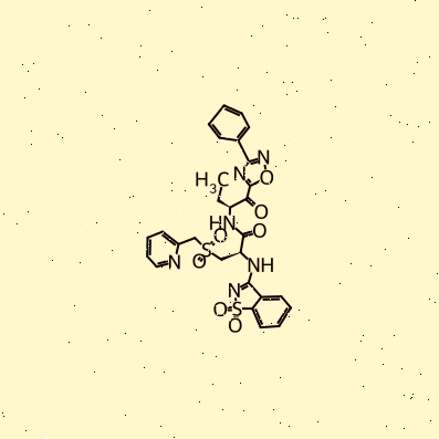 CC[C@H](NC(=O)[C@H](CS(=O)(=O)Cc1ccccn1)NC1=NS(=O)(=O)c2ccccc21)C(=O)c1nc(-c2ccccc2)no1